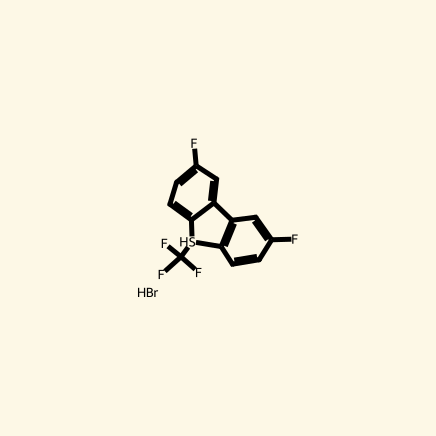 Br.Fc1ccc2c(c1)-c1cc(F)ccc1[SH]2C(F)(F)F